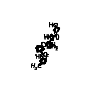 C=C(/C=C(\C=C/N)Oc1cccc(C(=O)Nc2cc(C)ccc2F)c1)c1cc(C(=O)N2CC[C@H](O)C2)c[nH]1